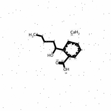 CCCCC(O)c1ccccc1C(=O)O.[CaH2]